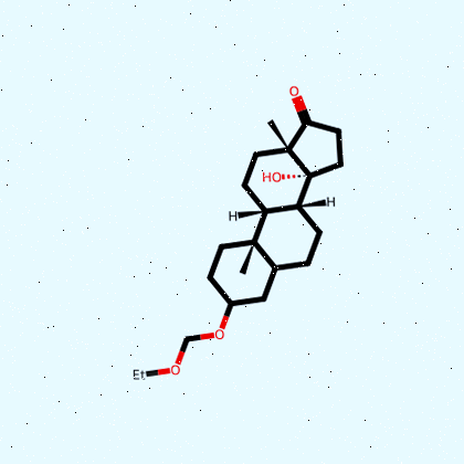 CCOCOC1CC[C@@]2(C)C(CC[C@@H]3[C@H]2CC[C@]2(C)C(=O)CC[C@@]32O)C1